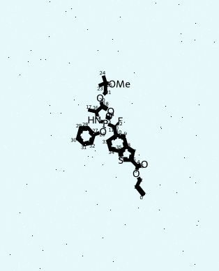 C=CCOC(=O)c1cc2cc([C@H](F)P(=O)(NC(C)C(=O)OCC(C)(C)OC)Oc3ccccc3)ccc2s1